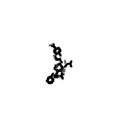 CC(=O)N[C@@H](Cc1ccccc1)C(=O)N[C@@H](CCC(C)C)C(=O)N[C@H](C=O)Cc1ccc(O)cc1